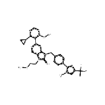 COCCn1c(=N)n(Cc2ccc(-c3nc(C(F)(F)F)cn3C)cc2)c2nc(-c3c(OC)ncnc3C3CC3)ncc21